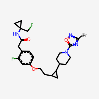 CC(C)c1noc(N2CCC(C3CC3CCOc3ccc(CC(=O)NC4(CF)CC4)c(F)c3)CC2)n1